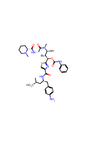 CC[C@H](C)[C@H](NC(=O)[C@H]1CCCCN1C)C(=O)N(C)[C@H](C[C@@H](OC(=O)Nc1ccccc1)c1nc(C(=O)N[C@@H](Cc2ccc(N)cc2)C[C@H](C)C(=O)O)cs1)C(C)C